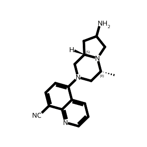 C[C@@H]1CN(c2ccc(C#N)c3ncccc23)C[C@@H]2CC(N)CN21